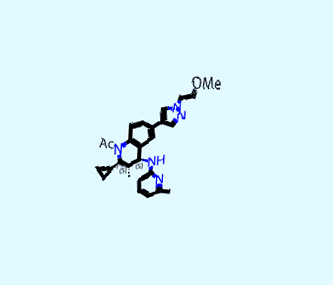 COCCn1cc(-c2ccc3c(c2)[C@@H](Nc2cccc(C)n2)[C@H](C)[C@@H](C2CC2)N3C(C)=O)cn1